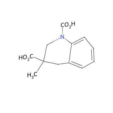 CC1(C(=O)O)Cc2ccccc2N(C(=O)O)C1